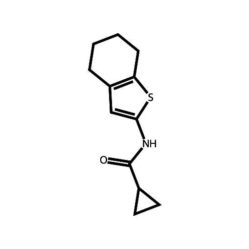 O=C(Nc1cc2c(s1)CCCC2)C1CC1